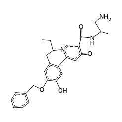 CCC1Cc2cc(OCc3ccccc3)c(O)cc2-c2cc(=O)c(C(=O)NC(C)CN)cn21